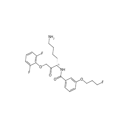 NCCCC[C@H](NC(=O)c1cccc(OCCCF)c1)C(=O)COc1c(F)cccc1F